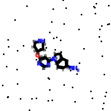 Nc1ccc2c(c1)CCN2c1cc(OC2CCNCC2)ncn1